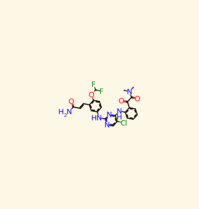 CN(C)C(=O)C(=O)c1ccccc1Nc1nc(Nc2ccc(OC(F)F)c(C=CC(N)=O)c2)ncc1Cl